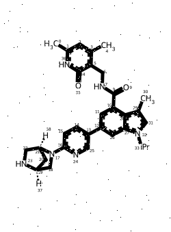 Cc1cc(C)c(CNC(=O)c2cc(-c3ccc(N4C[C@@H]5C[C@H]4CN5)nc3)cc3c2c(C)cn3C(C)C)c(=O)[nH]1